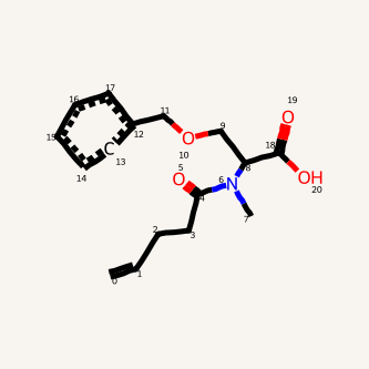 C=CCCC(=O)N(C)C(COCc1ccccc1)C(=O)O